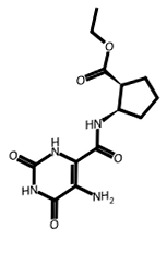 CCOC(=O)[C@H]1CCC[C@H]1NC(=O)c1[nH]c(=O)[nH]c(=O)c1N